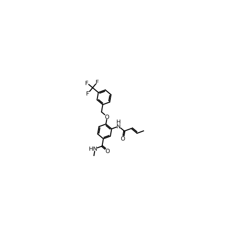 C/C=C/C(=O)Nc1cc(C(=O)NC)ccc1OCc1cccc(C(F)(F)F)c1